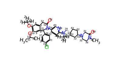 [2H]C([2H])([2H])Oc1cc2c(cc1OC(C)C)[C@H](c1ccc(Cl)cc1)N(c1ccc(N(C[C@H]3CC[C@H](N4CCN(C)C(=O)C4)CC3)C([2H])([2H])[2H])nc1)C(=O)C2